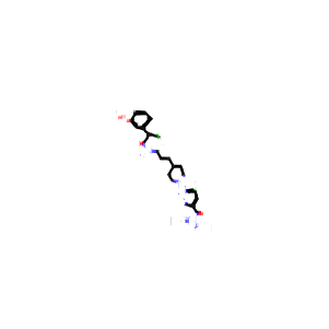 COc1cccc(C(C(=O)N(C)CCCC2CCN(c3ncc(C(=O)N(C)C)cc3Cl)CC2)C(F)F)c1